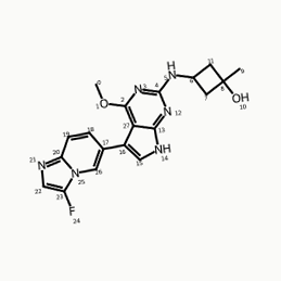 COc1nc(NC2CC(C)(O)C2)nc2[nH]cc(-c3ccc4ncc(F)n4c3)c12